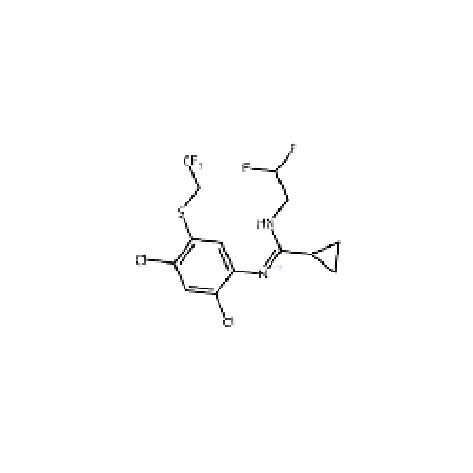 FC(F)CN/C(=N\c1cc(SCC(F)(F)F)c(Cl)cc1Cl)C1CC1